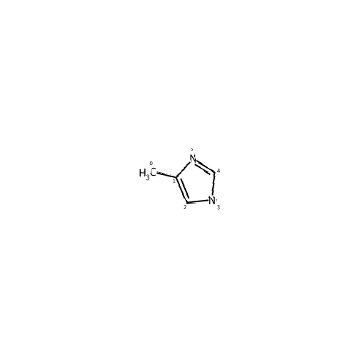 CC1=C[N]C=N1